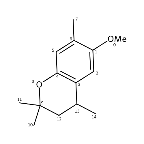 COc1cc2c(cc1C)OC(C)(C)CC2C